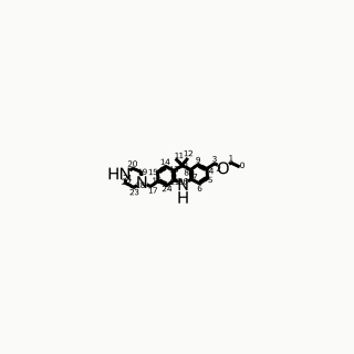 CCOCc1ccc2c(c1)C(C)(C)c1ccc(CN3CCNCC3)cc1N2